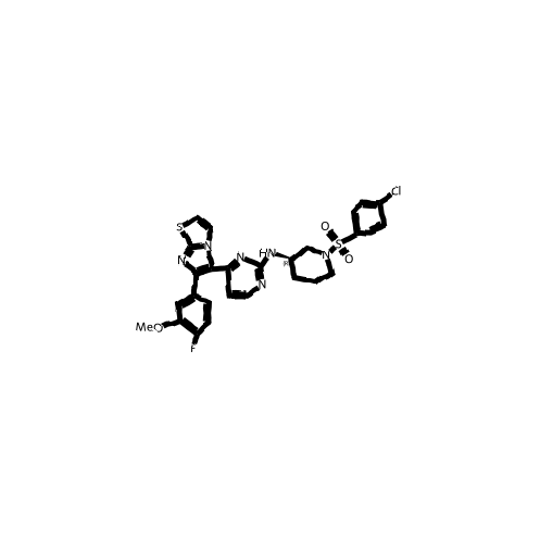 COc1cc(-c2nc3sccn3c2-c2ccnc(N[C@@H]3CCCN(S(=O)(=O)c4ccc(Cl)cc4)C3)n2)ccc1F